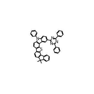 CC1(C)c2ccccc2-c2c1ccc1c2sc2c1ccc1c2c2cc(-c3nc(-c4ccccc4)nc(-c4ccccc4)n3)ccc2n1-c1ccccc1